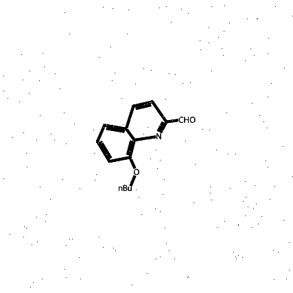 CCCCOc1cccc2ccc(C=O)nc12